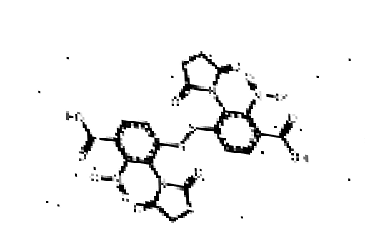 O=C(O)c1ccc(SSc2ccc(C(=O)O)c([N+](=O)[O-])c2N2C(=O)CCC2=O)c(N2C(=O)CCC2=O)c1[N+](=O)[O-]